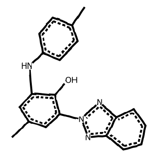 Cc1ccc(Nc2cc(C)cc(-n3nc4ccccc4n3)c2O)cc1